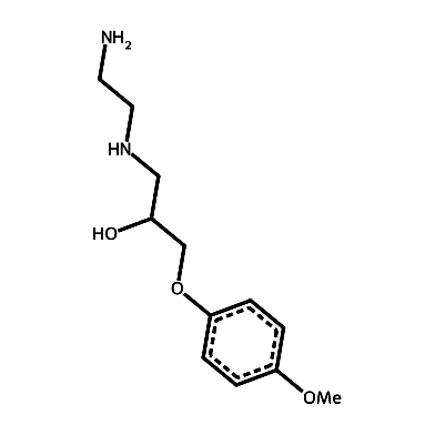 COc1ccc(OCC(O)CNCCN)cc1